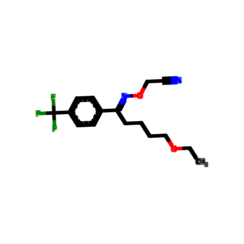 CCOCCCCC(=NOCC#N)c1ccc(C(F)(F)F)cc1